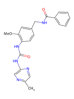 COc1cc(CNC(=O)c2ccccc2)ccc1NC(=O)Nc1cnc(C)cn1